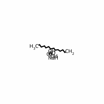 C=CCCCCCCCCCCCC.O=S(=O)(O)O.[NaH]